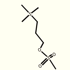 CS(C)(C)CCCOS(C)(=O)=O